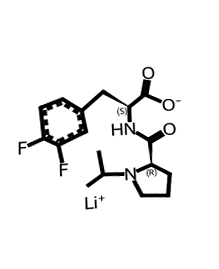 CC(C)N1CCC[C@@H]1C(=O)N[C@@H](Cc1ccc(F)c(F)c1)C(=O)[O-].[Li+]